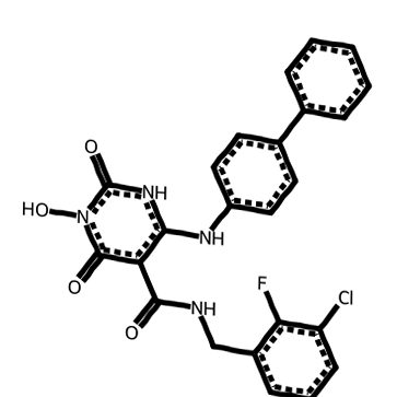 O=C(NCc1cccc(Cl)c1F)c1c(Nc2ccc(-c3ccccc3)cc2)[nH]c(=O)n(O)c1=O